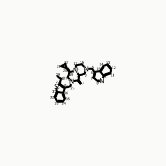 C=C1C2CN(Cc3ccnc4ccccc34)CCN2C(=C2CC2)CN1Cc1c(CC)sc2ccccc12